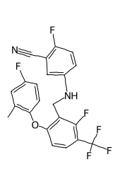 Cc1cc(F)ccc1Oc1ccc(C(F)(F)F)c(F)c1CNc1ccc(F)c(C#N)c1